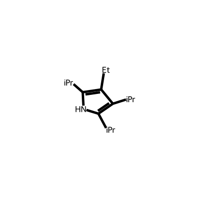 CCc1c(C(C)C)[nH]c(C(C)C)c1C(C)C